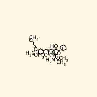 COCCCOc1cc(C[C@@H](C[C@H](NC(=O)C(N)C(C)C)[C@@H](O)CN2CCCCC2)C(C)C)ccc1OC